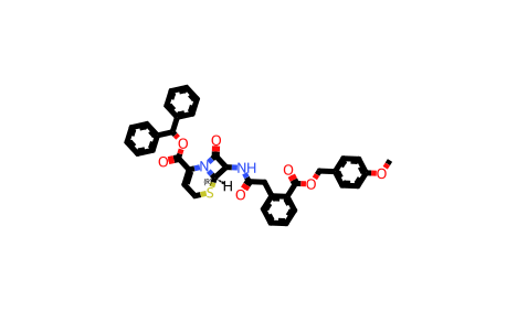 COc1ccc(COC(=O)c2ccccc2CC(=O)NC2C(=O)N3C(C(=O)OC(c4ccccc4)c4ccccc4)=CCS[C@H]23)cc1